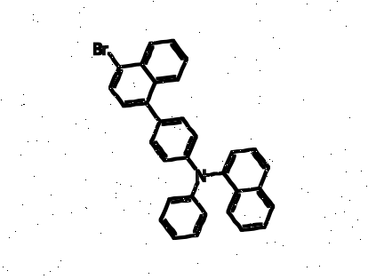 Brc1ccc(-c2ccc(N(c3ccccc3)c3cccc4ccccc34)cc2)c2ccccc12